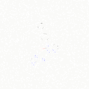 Cc1ccccc1-c1ccc(-n2c(=O)n([C@H]3CCN(Cc4nccn4C)C3)c3ncccc32)cc1